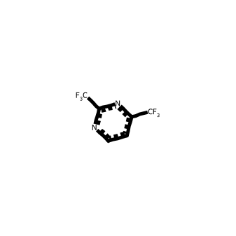 FC(F)(F)c1c[c]nc(C(F)(F)F)n1